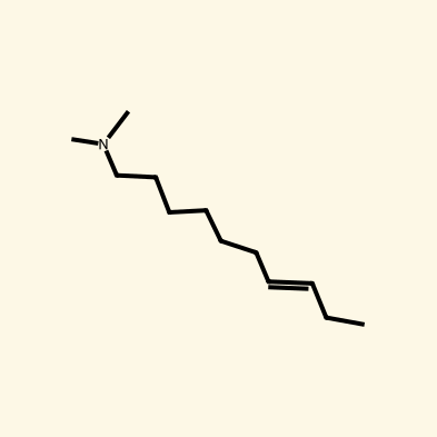 CCC=CCCCCCCN(C)C